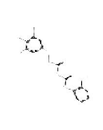 Cc1cc(OCC(=O)NC(=S)Nc2ccccc2O)cc(C)c1Cl